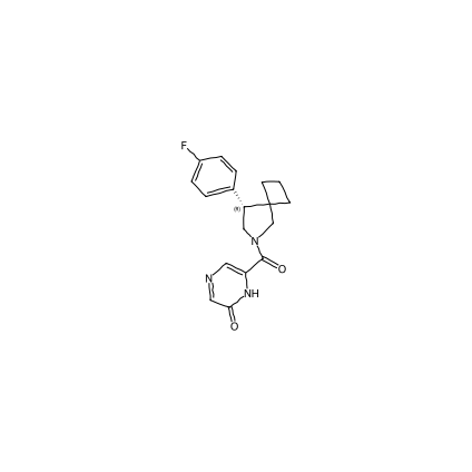 O=C(c1cncc(=O)[nH]1)N1C[C@H](c2ccc(F)cc2)C2(CCC2)C1